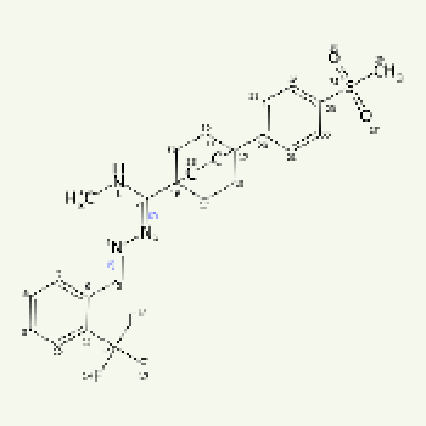 CN/C(=N\N=C\c1ccccc1C(F)(F)F)C12CCC(c3ccc(S(C)(=O)=O)cc3)(CC1)CC2